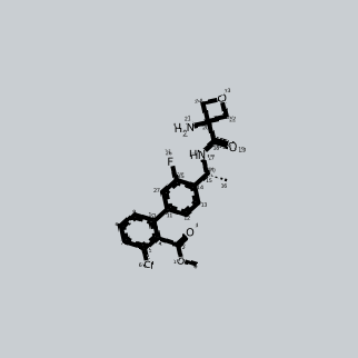 COC(=O)c1c(Cl)cccc1-c1ccc([C@@H](C)NC(=O)C2(N)COC2)c(F)c1